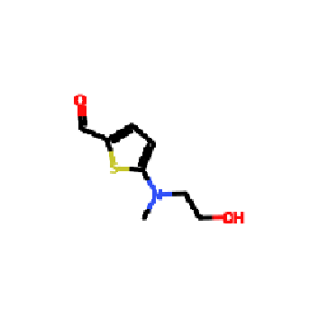 CN(CCO)c1ccc(C=O)s1